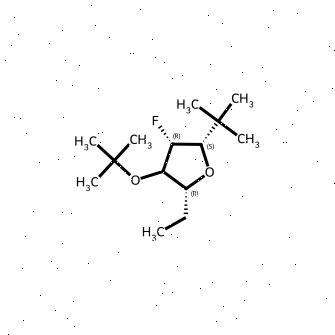 CC[C@H]1O[C@@H](C(C)(C)C)[C@@H](F)C1OC(C)(C)C